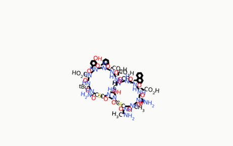 C[C@H](N)C(=O)N[C@H]1CSCC(=O)N2CCN3CC(O)(C2)NC[C@@H](NC(=O)[C@@H](C)NC(=O)[C@H](Cc2cccc4ccccc24)NC(=O)[C@H](CCC(=O)O)NC(=O)[C@H](CC(N)=O)NC(=O)[C@@H](C)NC1=O)C(=O)N[C@@H](CCC(=O)O)C(=O)N[C@@H](CC(=O)O)C(=O)N[C@@H](Cc1ccccc1)C(=O)N[C@@H](Cc1ccc(O)cc1)C(=O)N[C@@H](CC(=O)O)C(=O)N[C@@H](C(C)(C)C)C(=O)N[C@H](C(N)=O)CSCC3=O